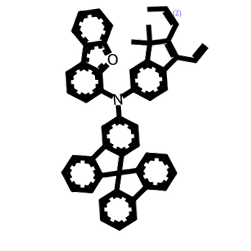 C=CC1=C(/C=C\C)C(C)(C)c2cc(N(c3ccc4c(c3)-c3ccccc3C43c4ccccc4-c4ccccc43)c3cccc4c3oc3ccccc34)ccc21